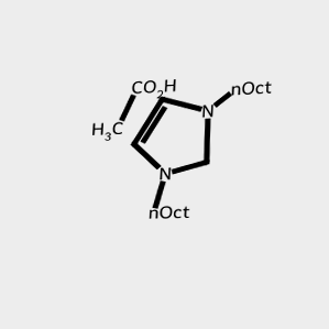 CC(=O)O.CCCCCCCCN1C=CN(CCCCCCCC)C1